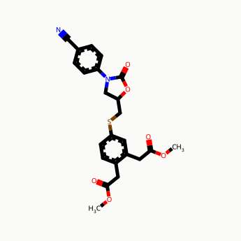 COC(=O)Cc1ccc(SCC2CN(c3ccc(C#N)cc3)C(=O)O2)cc1CC(=O)OC